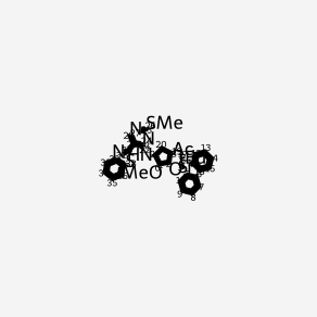 CO[C@@H]1[C@H](O[Si](c2ccccc2)(c2ccccc2)C(C)(C)C)[C@@H](C(C)=O)C[C@H]1Nc1nc(SC)ncc1-c1nc2ccccc2s1